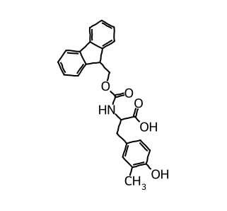 Cc1cc(CC(NC(=O)OCC2c3ccccc3-c3ccccc32)C(=O)O)ccc1O